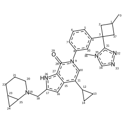 CC1CC(c2cccc(-n3cc(C4CC4)c4cc(CN5CCCC6CC65)[nH]c4c3=O)c2)(c2nncn2C)C1